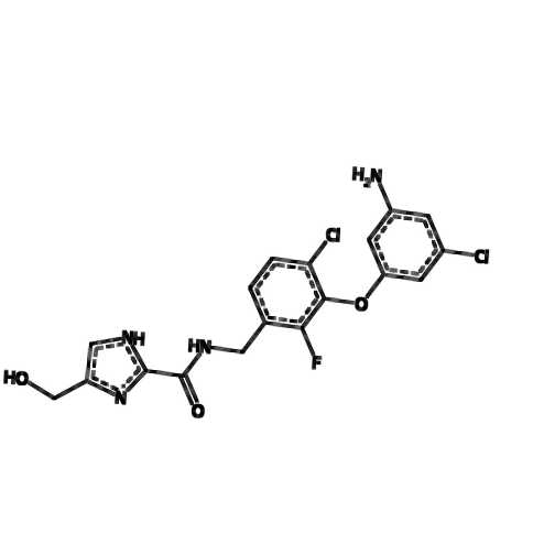 Nc1cc(Cl)cc(Oc2c(Cl)ccc(CNC(=O)c3nc(CO)c[nH]3)c2F)c1